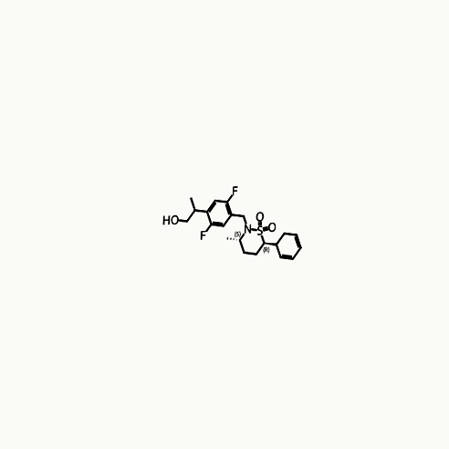 CC(CO)c1cc(F)c(CN2[C@@H](C)CC[C@H](C3C=CC=CC3)S2(=O)=O)cc1F